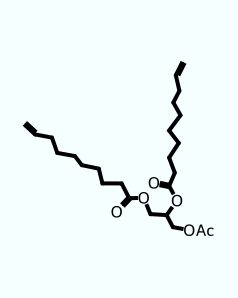 C=CCCCCCCCC(=O)OCC(COC(C)=O)OC(=O)CCCCCCCC=C